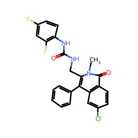 Cn1c(CNC(=O)Nc2ccc(F)cc2F)c(-c2ccccc2)c2cc(Cl)ccc2c1=O